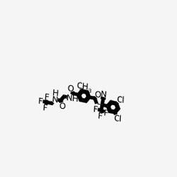 Cc1cc(C(=O)C[C@](C#N)(c2cc(Cl)cc(Cl)c2)C(F)(F)F)ccc1C(=O)NCC(=O)NCC(F)(F)F